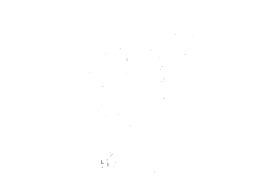 CCCC(C)C1C(O[Si](C)(C)C)=C[C@@H]2CC(O[Si](C)(C)C)CC[C@]2(C)C1CCCCC(=O)OC